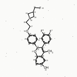 CC1=C(c2ccc(F)c(F)c2)[C@H](c2ccc(OCCN3CC(CF)C3)cc2)Oc2ccc(O)cc21